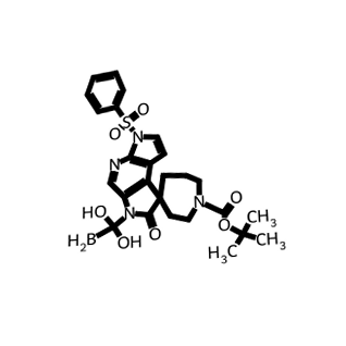 BC(O)(O)N1C(=O)C2(CCCN(C(=O)OC(C)(C)C)CC2)c2c1cnc1c2ccn1S(=O)(=O)c1ccccc1